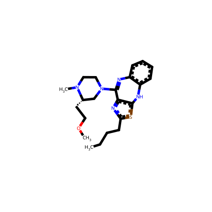 CCCCc1nc2c(s1)Nc1ccccc1N=C2N1CCN(C)[C@@H](CCOC)C1